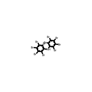 Brc1c(Br)c(Br)c(Nc2c(Br)c(Br)c(Br)c(Br)c2Br)c(Br)c1Br